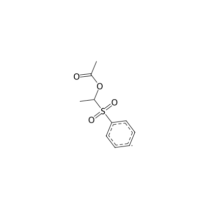 CC(=O)OC(C)S(=O)(=O)c1cc[c]cc1